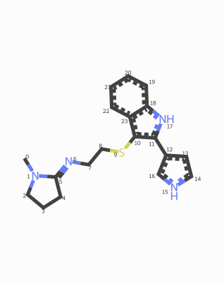 CN1CCCC1=NCCSc1c(-c2cc[nH]c2)[nH]c2ccccc12